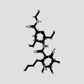 CCCCc1c(C(=O)Nc2c(CC)cc(C(=O)OCC)cc2CC)c(=O)c(C)c(C)n1C